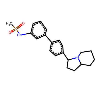 CS(=O)(=O)Nc1cccc(-c2ccc(C3CCC4CCCCN43)cc2)c1